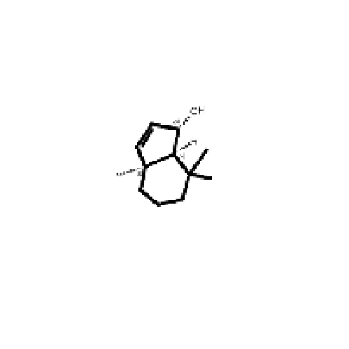 CC1(C)CCC[C@@]2(C)C=C[C@H](O)[C@@H]12